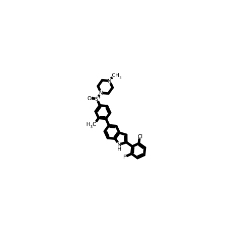 Cc1cc([S+]([O-])N2CCN(C)CC2)ccc1-c1ccc2[nH]c(-c3c(F)cccc3Cl)cc2c1